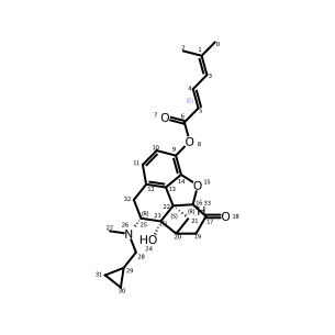 CC(C)=C/C=C/C(=O)Oc1ccc2c3c1O[C@H]1C(=O)CC4C[C@]31[C@]4(O)[C@H](N(C)CC1CC1)C2